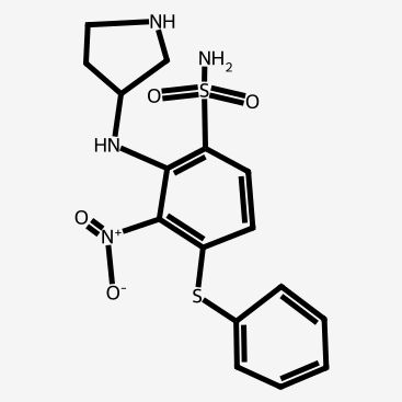 NS(=O)(=O)c1ccc(Sc2ccccc2)c([N+](=O)[O-])c1NC1CCNC1